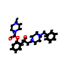 CN1CCN(C(=O)Oc2ccccc2C(=O)CN2CCN(Cc3ccccc3)CC2)CC1